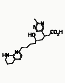 Cc1ncc(C(CC(=O)O)CC(O)CCCCc2ccc3c(n2)NCCC3)cn1